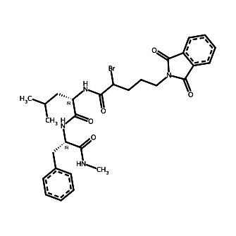 CNC(=O)[C@H](Cc1ccccc1)NC(=O)[C@H](CC(C)C)NC(=O)C(Br)CCCN1C(=O)c2ccccc2C1=O